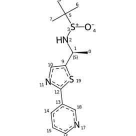 C[C@H](N[S+]([O-])C(C)(C)C)c1cnc(-c2cccnc2)s1